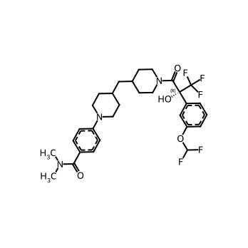 CN(C)C(=O)c1ccc(N2CCC(CC3CCN(C(=O)[C@](O)(c4cccc(OC(F)F)c4)C(F)(F)F)CC3)CC2)cc1